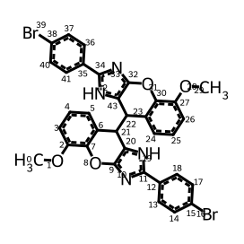 COc1cccc2c1Oc1nc(-c3ccc(Br)cc3)[nH]c1C2C1c2cccc(OC)c2Oc2nc(-c3ccc(Br)cc3)[nH]c21